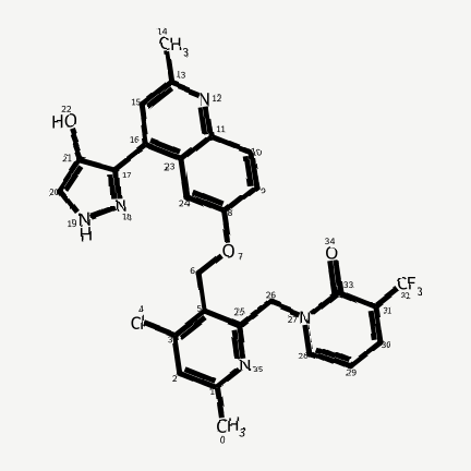 Cc1cc(Cl)c(COc2ccc3nc(C)cc(-c4n[nH]cc4O)c3c2)c(Cn2cccc(C(F)(F)F)c2=O)n1